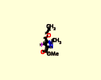 C=CCOCc1c(I)c(C(=O)OC)nn1C